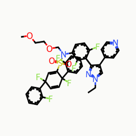 CCn1cc(-c2ccncc2)c(-c2c(F)ccc(N(COCCOC)S(=O)(=O)C3=CC(F)(c4ccccc4F)C=CC3(F)c3ccccc3F)c2F)n1